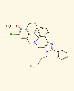 CCCCn1c(-c2ccccc2)nc(-c2ccccc2)c1CN(Cc1ccccc1)Cc1ccc(OC)c(Br)c1